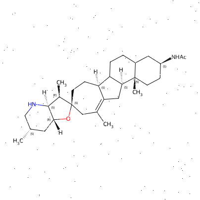 CC(=O)N[C@H]1CC[C@@]2(C)C(CCC3[C@@H]4CC[C@@]5(CC(C)=C4C[C@@H]32)O[C@@H]2C[C@H](C)CN[C@H]2[C@H]5C)C1